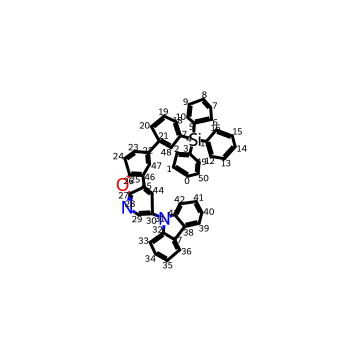 c1ccc([Si](c2ccccc2)(c2ccccc2)c2cccc(-c3ccc4oc5ncc(-n6c7ccccc7c7ccccc76)cc5c4c3)c2)cc1